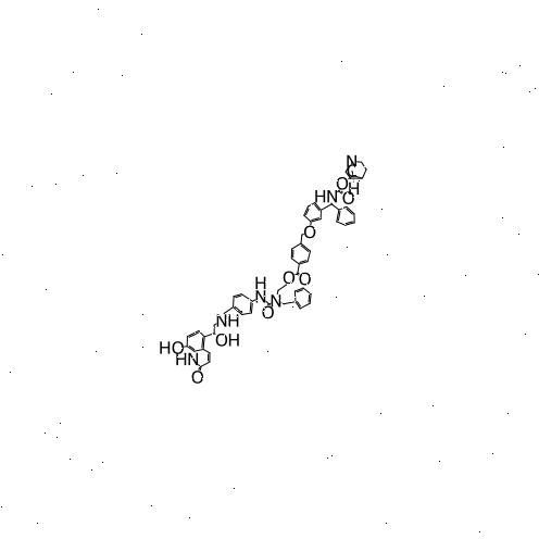 O=C(N[C@@H](c1ccccc1)c1cccc(OCc2ccc(C(=O)OCCN(Cc3ccccc3)C(=O)Nc3ccc(CNC[C@H](O)c4ccc(O)c5[nH]c(=O)ccc45)cc3)cc2)c1)O[C@H]1CN2CCC1CC2